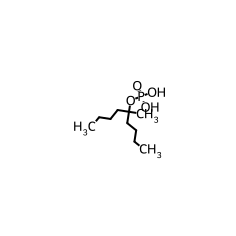 CCCCC(C)(CCCC)OP(=O)(O)O